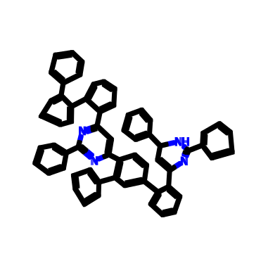 C1=C(c2ccccc2-c2ccc(-c3cc(-c4ccccc4-c4ccccc4-c4ccccc4)nc(-c4ccccc4)n3)c(-c3ccccc3)c2)N=C(c2ccccc2)NC1c1ccccc1